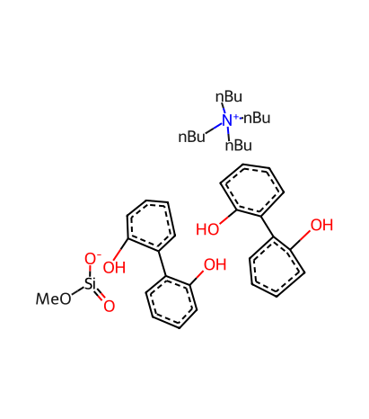 CCCC[N+](CCCC)(CCCC)CCCC.CO[Si](=O)[O-].Oc1ccccc1-c1ccccc1O.Oc1ccccc1-c1ccccc1O